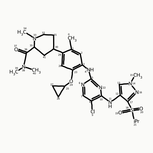 Cc1cc(Nc2ncc(Cl)c(Nc3cn(C)nc3S(=O)(=O)C(C)C)n2)c(OC2CC2)cc1C1CCN(C)C(C(=O)N(C)C)C1